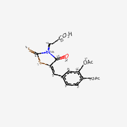 CC(=O)Oc1ccc(C=C2SC(=S)N(CC(=O)O)C2=O)cc1OC(C)=O